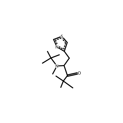 CN(C(Cc1cscn1)C(=O)C(C)(C)C)C(C)(C)C